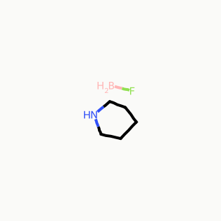 BF.C1CCNCC1